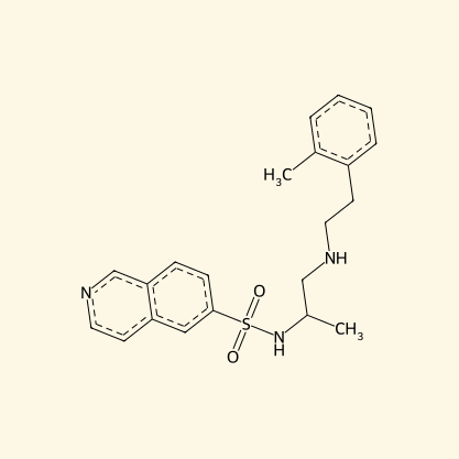 Cc1ccccc1CCNCC(C)NS(=O)(=O)c1ccc2cnccc2c1